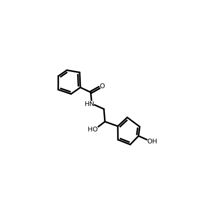 O=C(NCC(O)c1ccc(O)cc1)c1ccccc1